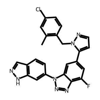 Cc1cc(Cl)ccc1Cn1nccc1-c1cc(F)c2nnn(-c3ccc4cn[nH]c4c3)c2c1